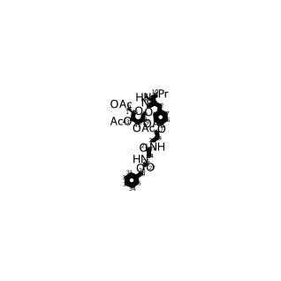 CC(=O)OC[C@H]1O[C@@H](Oc2n[nH]c(C(C)C)c2Cc2ccc(OCCCNC(=O)CNC(=O)OCc3ccccc3)cc2)[C@H](OC(C)=O)[C@@H](OC(C)=O)[C@@H]1OC(C)=O